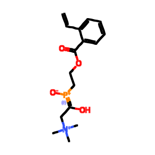 C=Cc1ccccc1C(=O)OCC/[P+]([O-])=C(\O)C[N+](C)(C)C